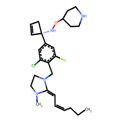 CCC/C=C\C=C1/N(C)CCN1Cc1c(F)cc([C@@]2(NOC3CCNCC3)C=CC2)cc1Cl